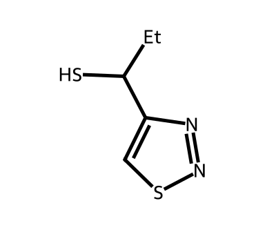 [CH2]CC(S)c1csnn1